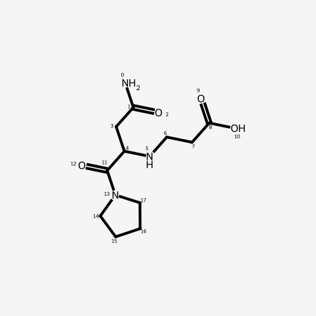 NC(=O)CC(NCCC(=O)O)C(=O)N1CCCC1